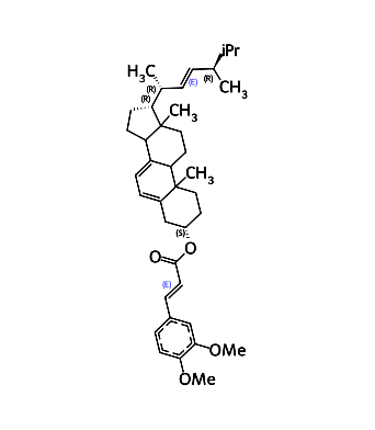 COc1ccc(/C=C/C(=O)O[C@H]2CCC3(C)C(=CC=C4C3CCC3(C)C4CC[C@@H]3[C@H](C)/C=C/[C@H](C)C(C)C)C2)cc1OC